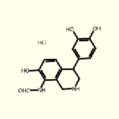 Cl.O=CNc1c(O)ccc2c1CNCC2c1ccc(O)c(O)c1